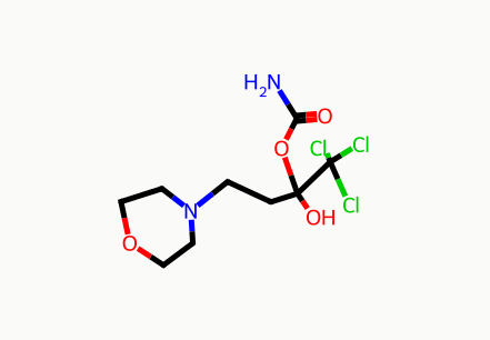 NC(=O)OC(O)(CCN1CCOCC1)C(Cl)(Cl)Cl